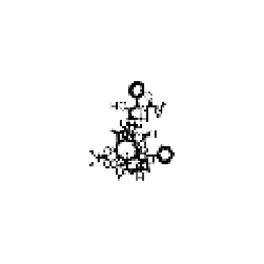 CO[C@H]1C[C@H]2CC[C@@]2(OC(C)=O)[C@H]2[C@H](OC(=O)c3ccccc3)[C@]34OC(=O)O[C@H]3[C@H](OC(=O)[C@H](O)[C@@H](NC(=O)N(C)C)c3ccccc3)C(C)=C([C@@H](OC(=O)N(C)C)C(=O)[C@]12C)C4(C)C